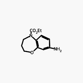 CCOC(=O)N1CCCOc2cc(N)ccc21